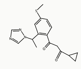 CSc1ccc(C(=O)CC(=O)C2CC2)c(C(C)n2cncn2)c1